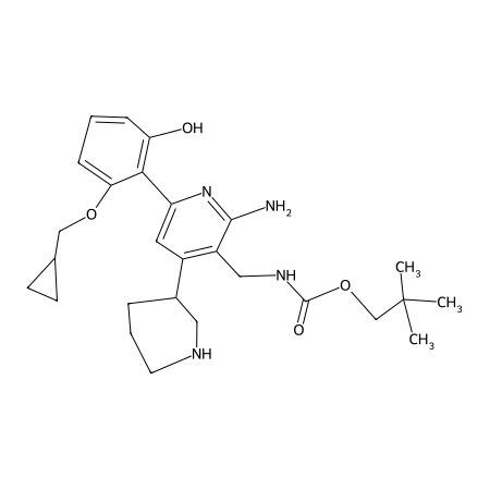 CC(C)(C)COC(=O)NCc1c(C2CCCNC2)cc(-c2c(O)cccc2OCC2CC2)nc1N